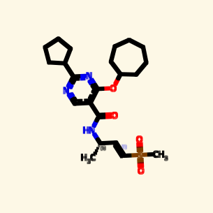 C[C@@H](/C=C/S(C)(=O)=O)NC(=O)c1cnc(C2CCCC2)nc1OC1CCCCCC1